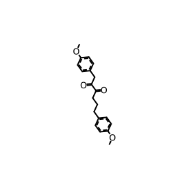 COc1ccc(CCCC(=O)C(=O)Cc2ccc(OC)cc2)cc1